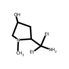 CCC(N)(CC)C1CC(O)CN1C